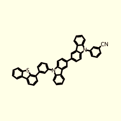 N#Cc1cccc(-n2c3ccccc3c3cc(-c4ccc5c(c4)c4ccccc4n5-c4cccc(-c5cccc6c5sc5ccccc56)c4)ccc32)c1